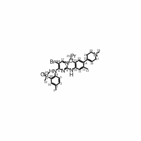 Cc1ccc(Nc2nc(Nc3cc(C)c(C4=CCN(C)CC4)cc3OC(C)C)ncc2Br)c(P(C)(C)=O)c1